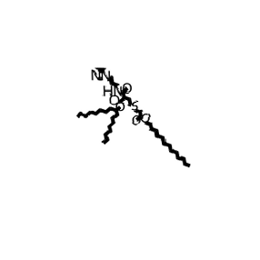 CCCCCCCCCCCCCCOC(=O)CCSCCC(C(=O)NCCCn1ccnc1)C(=O)OC(CCCCCCCC)CCCCCCCC